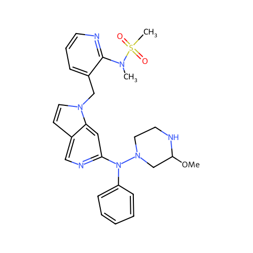 COC1CN(N(c2ccccc2)c2cc3c(ccn3Cc3cccnc3N(C)S(C)(=O)=O)cn2)CCN1